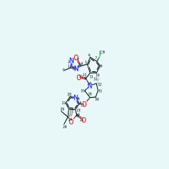 Cc1noc(-c2cc(F)ccc2C(=O)N2C[C@H](Oc3nccc4c3C(=O)OC4(C)C)CC[C@H]2C)n1